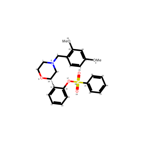 COc1ccc(CN2CCO[C@@H](c3ccccc3OS(=O)(=O)c3ccccc3)C2)c(OC)c1